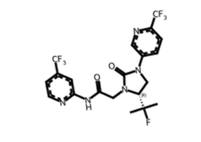 CC(C)(F)[C@H]1CN(c2ccc(C(F)(F)F)nc2)C(=O)N1CC(=O)Nc1cc(C(F)(F)F)ccn1